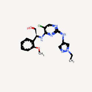 CCn1cc(Nc2ncc(Cl)c(N[C@H](CO)c3ccccc3OC)n2)cn1